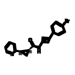 O=C(NC12CC(c3ccc(Br)cc3)(C1)C2)[C@@H]1C[C@H]1c1ccccn1